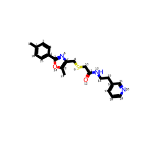 Cc1ccc(-c2nc(CSCC(=O)NCCc3cccnc3)c(C)o2)cc1